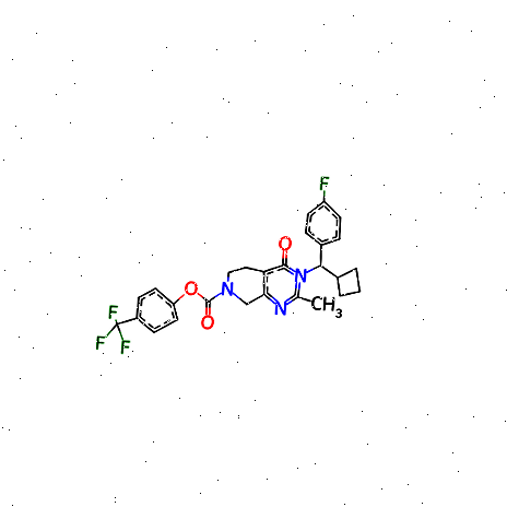 Cc1nc2c(c(=O)n1C(c1ccc(F)cc1)C1CCC1)CCN(C(=O)Oc1ccc(C(F)(F)F)cc1)C2